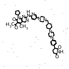 CC(=O)c1c(C)c2cnc(Nc3ccc(N4CCN(CC5CCC(N6CCN(c7ccc(C8CCC(=O)NC8=O)cc7)CC6)CC5)CC4)cn3)nc2n(C2CCCC2)c1=O